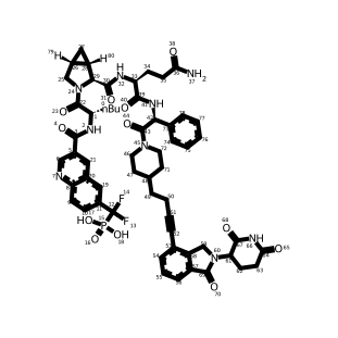 CCCC[C@H](NC(=O)c1cnc2ccc(C(F)(F)P(=O)(O)O)cc2c1)C(=O)N1C[C@@H]2C[C@@H]2[C@H]1C(=O)N[C@@H](CCC(N)=O)C(=O)N[C@H](C(=O)N1CCC(CCC#Cc2cccc3c2CN(C2CCC(=O)NC2=O)C3=O)CC1)c1ccccc1